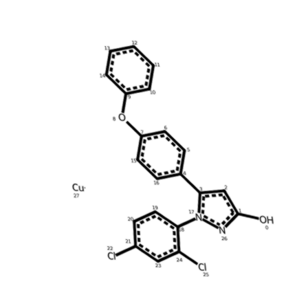 Oc1cc(-c2ccc(Oc3ccccc3)cc2)n(-c2ccc(Cl)cc2Cl)n1.[Cu]